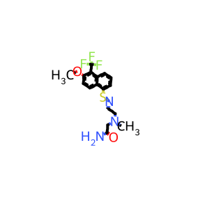 COc1ccc2c(SN=CCN(C)CC(N)=O)cccc2c1C(F)(F)F